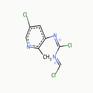 Cc1ncc(Cl)cc1/N=C(Cl)\N=C\Cl